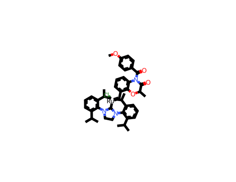 COc1ccc(C(=O)N2C(=O)C(C)Oc3c([CH]=[Ru]([Cl])[CH]4N(c5c(C(C)C)cccc5C(C)C)CCN4c4c(C(C)C)cccc4C(C)C)cccc32)cc1